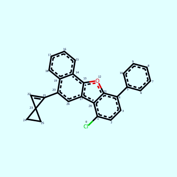 Clc1ccc(-c2ccccc2)c2oc3c4ccccc4c(C4=CC45CC5)cc3c12